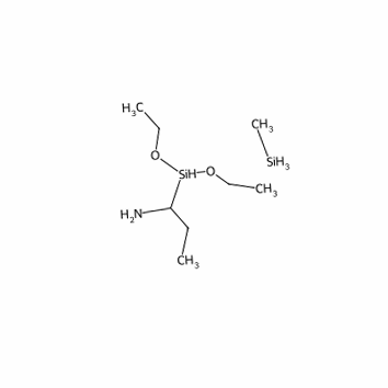 CCO[SiH](OCC)C(N)CC.C[SiH3]